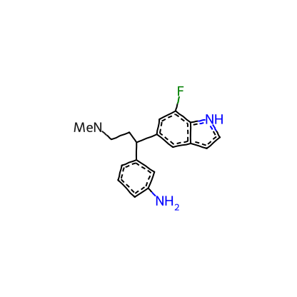 CNCCC(c1cccc(N)c1)c1cc(F)c2[nH]ccc2c1